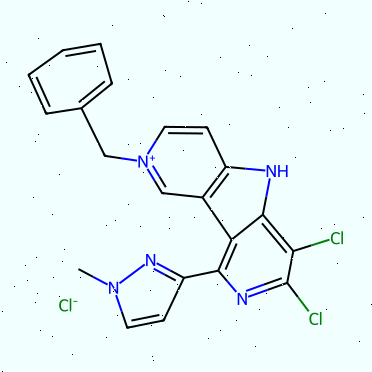 Cn1ccc(-c2nc(Cl)c(Cl)c3[nH]c4cc[n+](Cc5ccccc5)cc4c23)n1.[Cl-]